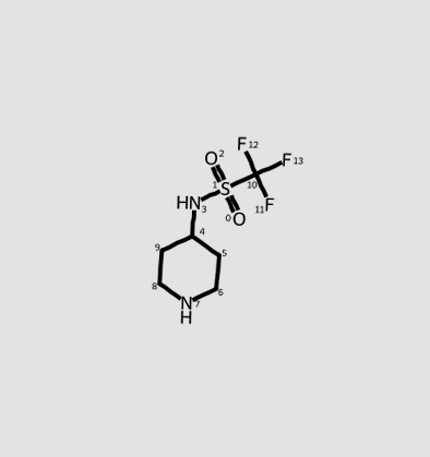 O=S(=O)(NC1CCNCC1)C(F)(F)F